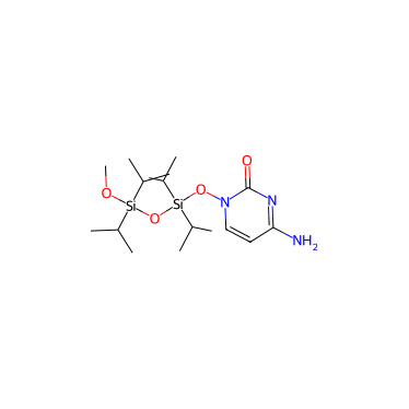 CO[Si](O[Si](On1ccc(N)nc1=O)(C(C)C)C(C)C)(C(C)C)C(C)C